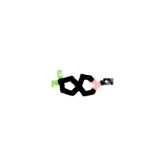 N#CB1CCC2(CC1)CCC(F)(F)C2